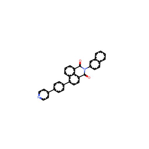 O=C1c2cccc3c(-c4ccc(-c5ccncc5)cc4)ccc(c23)C(=O)N1c1ccc2ccccc2c1